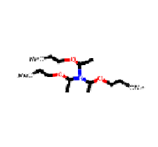 COCCOC(C)N(C(C)OCCOC)C(C)OCCOC